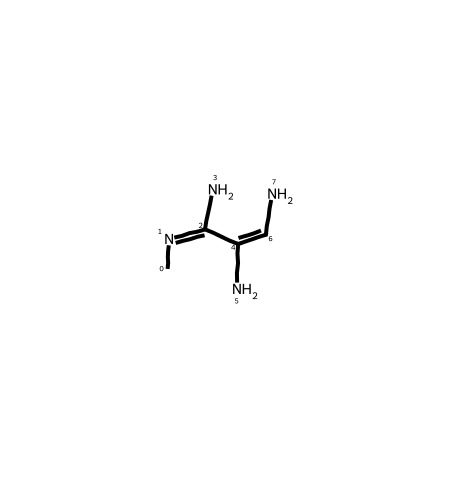 C/N=C(N)\C(N)=C/N